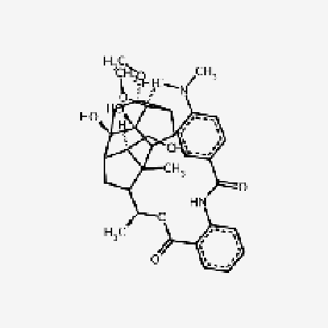 CC[C@@H]1C2CC([C@H](C)OC(=O)c3ccccc3NC(=O)c3ccc(N(C)C)cc3)C1(C)C1CC3[C@@H](OC)C[C@]2(O)[C@]1(O)[C@H]3OC